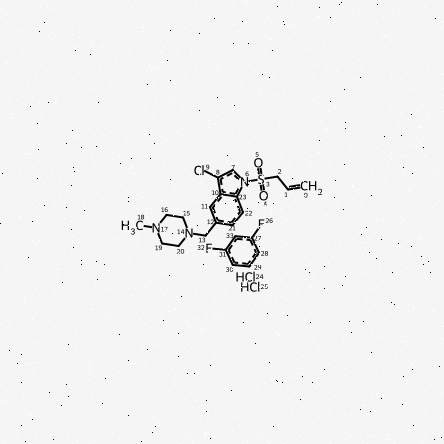 C=CCS(=O)(=O)n1cc(Cl)c2cc(CN3CCN(C)CC3)ccc21.Cl.Cl.Fc1cccc(F)c1